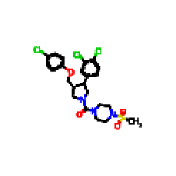 CS(=O)(=O)N1CCN(C(=O)N2C[C@@H](COc3ccc(Cl)cc3)[C@@H](c3ccc(Cl)c(Cl)c3)C2)CC1